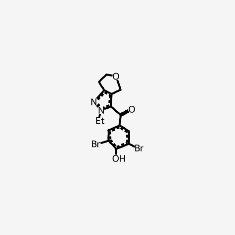 CCn1nc2c(c1C(=O)c1cc(Br)c(O)c(Br)c1)COCC2